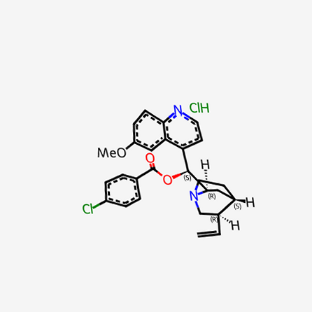 C=C[C@H]1CN2CC[C@H]1C[C@@H]2[C@@H](OC(=O)c1ccc(Cl)cc1)c1ccnc2ccc(OC)cc12.Cl